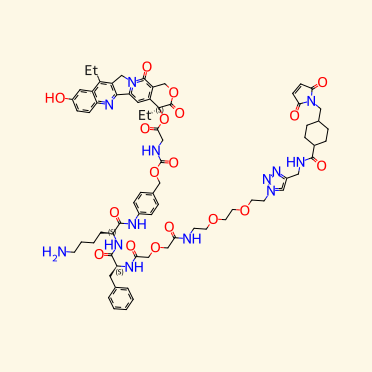 CCc1c2c(nc3ccc(O)cc13)-c1cc3c(c(=O)n1C2)COC(=O)[C@@]3(CC)OC(=O)CNC(=O)OCc1ccc(NC(=O)[C@H](CCCCN)NC(=O)[C@H](Cc2ccccc2)NC(=O)COCC(=O)NCCOCCOCCn2cc(CNC(=O)C3CCC(CN4C(=O)C=CC4=O)CC3)nn2)cc1